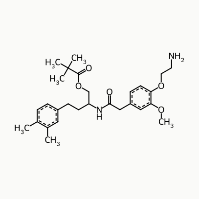 COc1cc(CC(=O)NC(CCc2ccc(C)c(C)c2)COC(=O)C(C)(C)C)ccc1OCCN